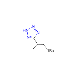 CC(CC(C)(C)C)c1nn[nH]n1